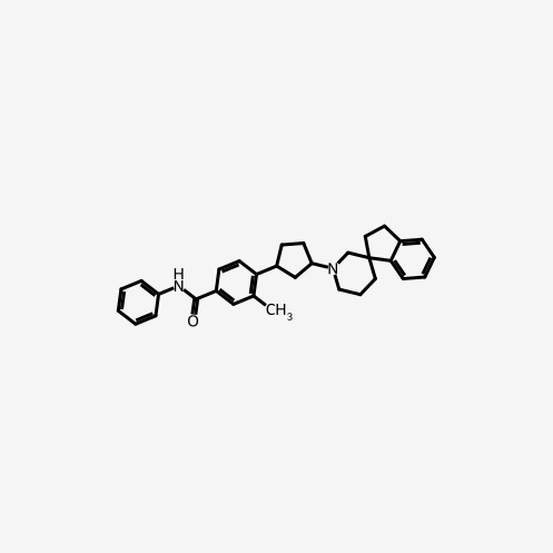 Cc1cc(C(=O)Nc2ccccc2)ccc1C1CCC(N2CCCC3(CCc4ccccc43)C2)C1